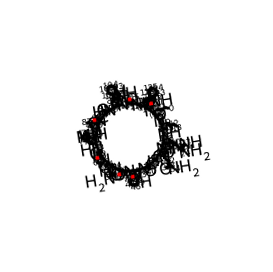 CCCC[C@H]1C(=O)N(C)[C@@H](CCCC)C(=O)N[C@@H](CCCNC(=N)N)C(=O)N[C@H](C(=O)NCC(N)=O)CSCC(=O)N[C@@H](Cc2ccccc2)C(=O)N(C)[C@@H](C)C(=O)N[C@@H](CC(N)=O)C(=O)N2CCC[C@H]2C(=O)N[C@@H](Cc2cnc[nH]2)C(=O)N[C@@H](CC(C)C)C(=O)N(C)CC(=O)N[C@@H](Cc2c[nH]c3ccccc23)C(=O)NC(C)(C)C(=O)N[C@@H](Cc2c[nH]c3ccccc23)C(=O)N1C